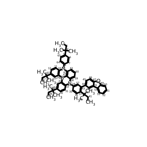 CCC(C)(C)c1ccc(N2c3ccc(C(C)(C)CC)cc3B3c4cc(C(C)(C)CC)ccc4N(c4ccc(C(C)(C)CC)c(-c5ccc6oc7ccccc7c6c5)c4)c4cccc2c43)cc1